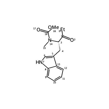 CCC(=O)[C@H](Cc1c[nH]c2ccccc12)N(C)C(=O)OC